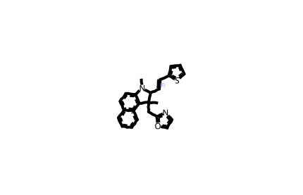 CN1c2ccc3ccccc3c2C(C)(Cc2ncco2)C1/C=C/c1cccs1